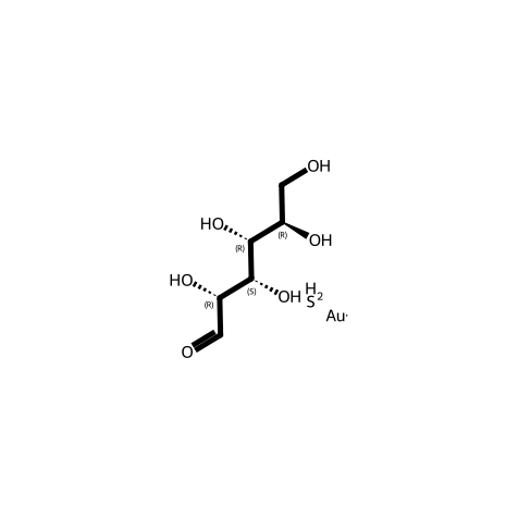 O=C[C@H](O)[C@@H](O)[C@H](O)[C@H](O)CO.S.[Au]